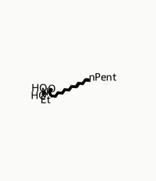 CCCCCC=CCC=CCCCCCCC(CC)C(=O)N(O)O